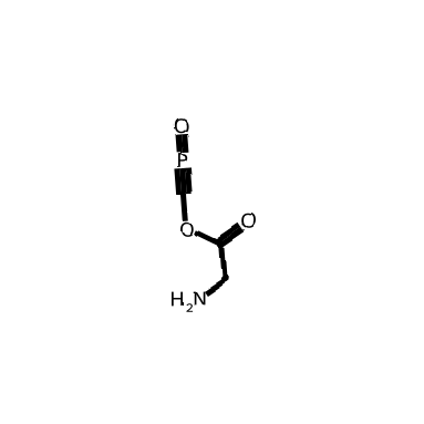 NCC(=O)OC#P=O